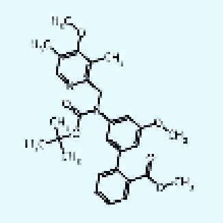 COC(=O)c1ccccc1-c1cc(OC)cc(N(Cc2ncc(C)c(OC)c2C)C(=O)OC(C)(C)C)c1